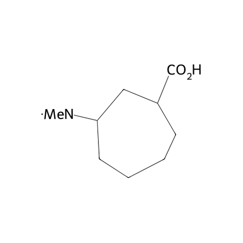 C[N]C1CCCCC(C(=O)O)C1